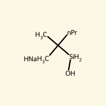 CCCC(C)(C)[SiH2]O.[NaH]